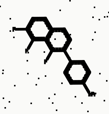 CCCc1ccc(-c2ccc3ccc(F)c(F)c3c2F)cc1